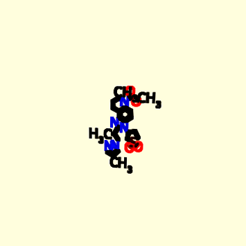 COC(=O)N1c2ccc3c(nc(C(C)Cn4cc(C)cn4)n3C3CCS(=O)(=O)C3)c2CC[C@@H]1C